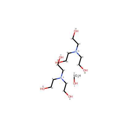 O=S(=O)(O)O.OCCN(CCO)CCO.OCCN(CCO)CCO